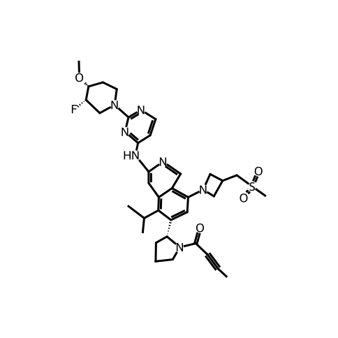 CC#CC(=O)N1CCC[C@@H]1c1cc(N2CC(CS(C)(=O)=O)C2)c2cnc(Nc3ccnc(N4CC[C@@H](OC)[C@@H](F)C4)n3)cc2c1C(C)C